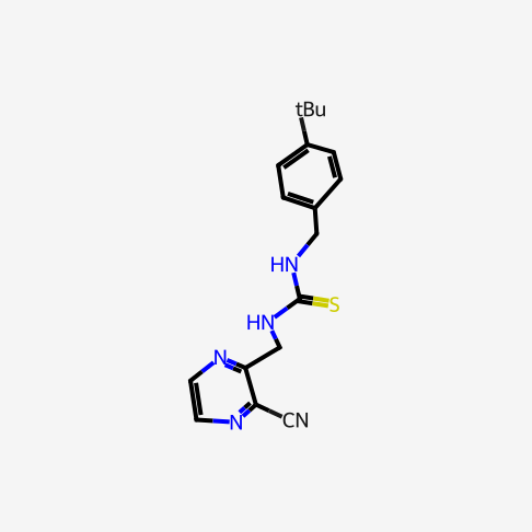 CC(C)(C)c1ccc(CNC(=S)NCc2nccnc2C#N)cc1